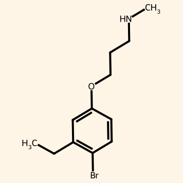 CCc1cc(OCCCNC)ccc1Br